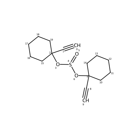 C#CC1(OS(=O)OC2(C#C)CCCCC2)CCCCC1